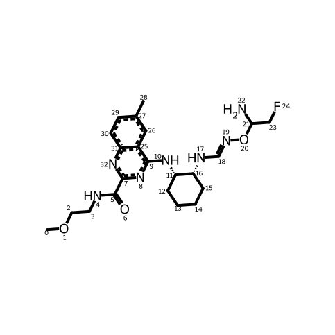 COCCNC(=O)c1nc(N[C@H]2CCCC[C@H]2NC=NOC(N)CF)c2cc(C)ccc2n1